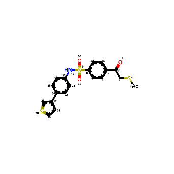 CC(=O)SCC(=O)c1ccc(S(=O)(=O)Nc2ccc(-c3ccsc3)cc2)cc1